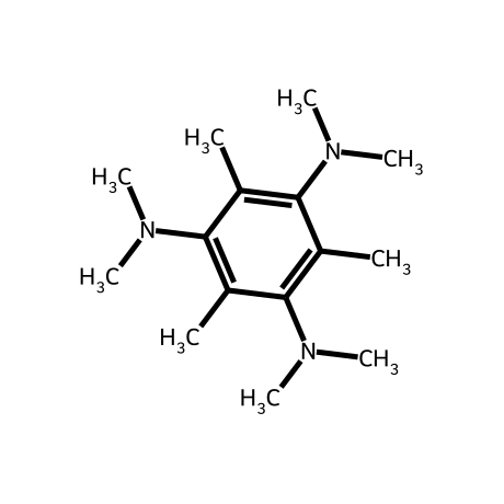 Cc1c(N(C)C)c(C)c(N(C)C)c(C)c1N(C)C